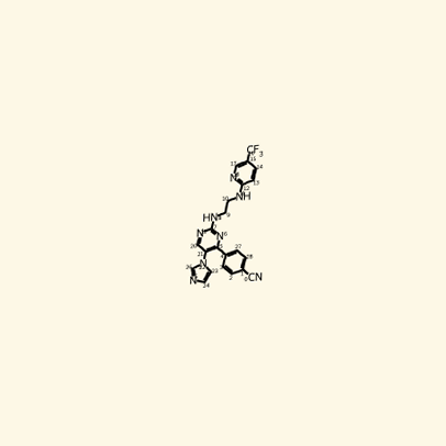 N#Cc1ccc(-c2nc(NCCNc3ccc(C(F)(F)F)cn3)ncc2-n2ccnc2)cc1